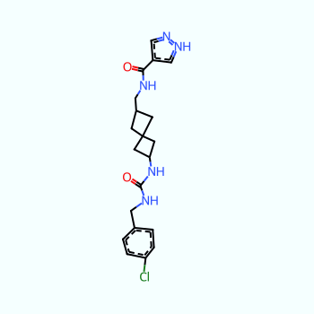 O=C(NCc1ccc(Cl)cc1)NC1CC2(CC(CNC(=O)c3cn[nH]c3)C2)C1